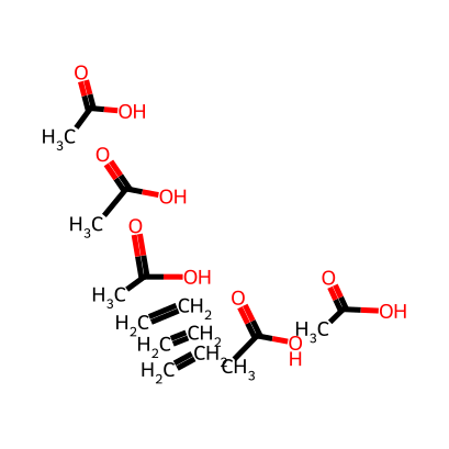 C=C.C=C.C=C.CC(=O)O.CC(=O)O.CC(=O)O.CC(=O)O.CC(=O)O